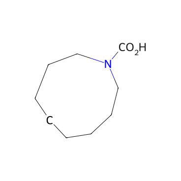 O=C(O)N1CCCCCCCC1